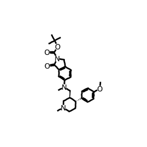 COc1ccc([C@@H]2CCN(C)C[C@H]2CN(C)c2ccc3c(c2)C(=O)N(C(=O)OC(C)(C)C)C3)cc1